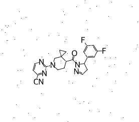 N#Cc1ccnc(N2CCC(C(=O)N3N=CCC3c3cc(F)cc(F)c3)C3(CC3)C2)n1